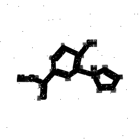 COC(=O)c1ccc(S)c([SH]2C=CC=C2)c1